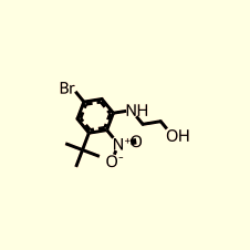 CC(C)(C)c1cc(Br)cc(NCCO)c1[N+](=O)[O-]